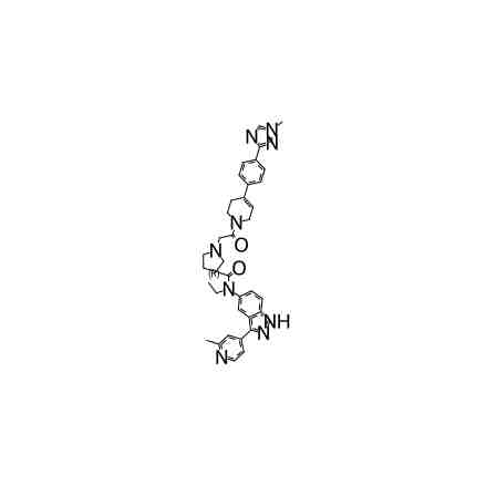 Cc1cc(-c2n[nH]c3ccc(N4CC[C@@]5(CCN(CC(=O)N6CC=C(c7ccc(-c8ncn(C)n8)cc7)CC6)C5)C4=O)cc23)ccn1